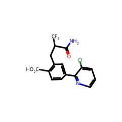 NC(=O)C(Cc1cc(-c2ncccc2Cl)ccc1C(=O)O)C(F)(F)F